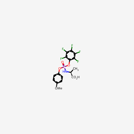 COc1ccc(OP(=O)(N[C@@H](C)C(=O)O)Oc2c(F)c(F)c(F)c(F)c2F)cc1